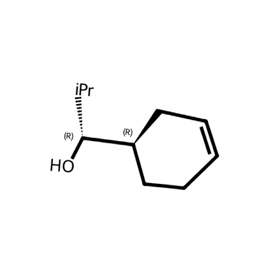 CC(C)[C@@H](O)[C@H]1CC=CCC1